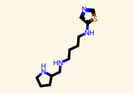 c1ncc(NCCCCNCC2CCCN2)s1